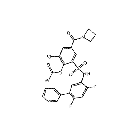 CC(C)C(=O)Oc1c(Cl)cc(C(=O)N2CCC2)cc1S(=O)(=O)Nc1cc(-c2ccccc2)c(F)cc1F